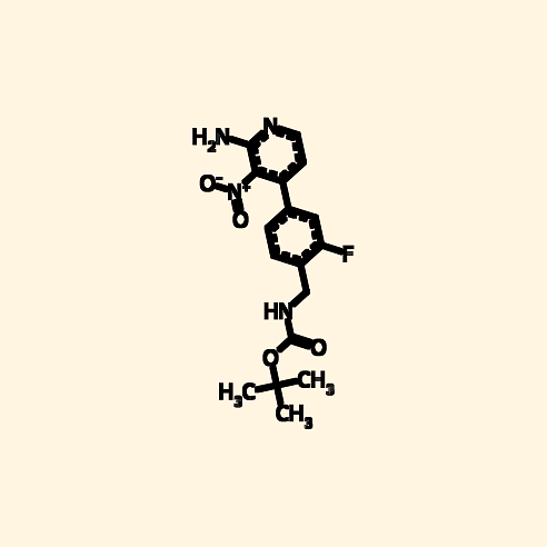 CC(C)(C)OC(=O)NCc1ccc(-c2ccnc(N)c2[N+](=O)[O-])cc1F